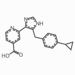 O=C(O)c1ccnc(-c2nc[nH]c2Cc2ccc(C3CC3)cc2)c1